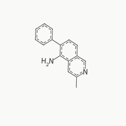 Cc1cc2c(N)c(-c3ccccc3)ccc2cn1